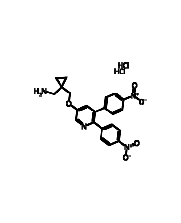 Cl.Cl.NCC1(COc2cnc(-c3ccc([N+](=O)[O-])cc3)c(-c3ccc([N+](=O)[O-])cc3)c2)CC1